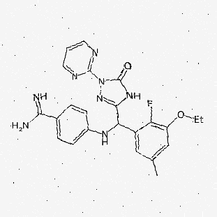 CCOc1cc(C)cc(C(Nc2ccc(C(=N)N)cc2)c2nn(-c3ncccn3)c(=O)[nH]2)c1F